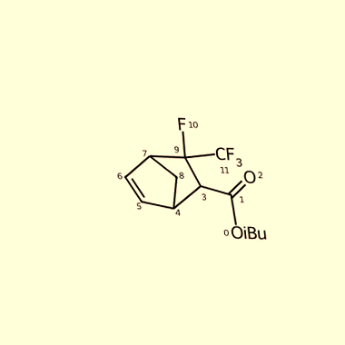 CC(C)COC(=O)C1C2C=CC(C2)C1(F)C(F)(F)F